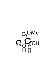 COC(=O)c1cc(O)c(O)c(O)c1.c1ccsc1